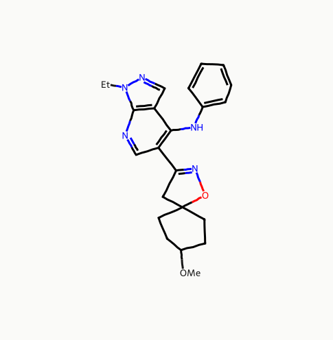 CCn1ncc2c(Nc3ccccc3)c(C3=NOC4(CCC(OC)CC4)C3)cnc21